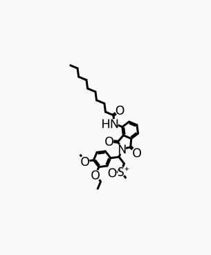 CCCCCCCCCC(=O)Nc1cccc2c1C(=O)N(C(C[S+](C)[O-])c1ccc(OC)c(OCC)c1)C2=O